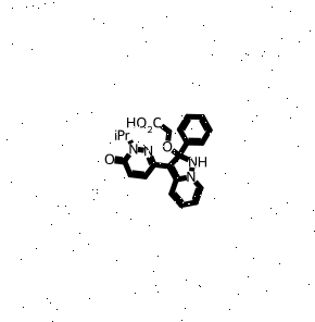 CC(C)n1nc(C2=C3C=CC=CN3NC2(OCC(=O)O)c2ccccc2)ccc1=O